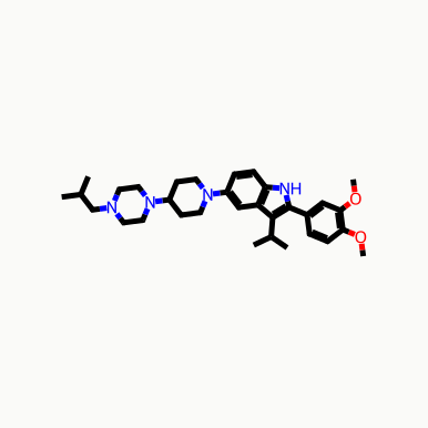 COc1ccc(-c2[nH]c3ccc(N4CCC(N5CCN(CC(C)C)CC5)CC4)cc3c2C(C)C)cc1OC